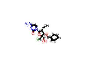 C#C[C@@H]1[C@H](n2ccc(N)nc2=O)O[C@@](CO)(CF)[C@H]1OCc1ccccc1